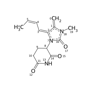 C=c1/c(=C\C=C/C)n(C2CCC(=O)NC2=O)c(=O)n1C